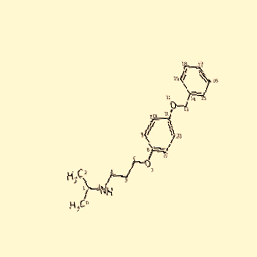 CC(C)NCCCOc1ccc(OCc2ccccc2)cc1